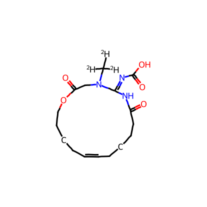 [2H]C([2H])([2H])N1CC(=O)OCCCCC=CCCCCC(=O)NC1=NC(=O)O